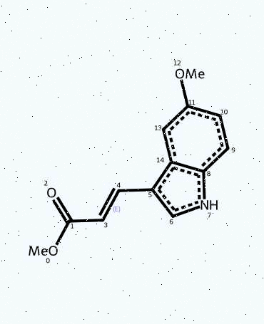 COC(=O)/C=C/c1c[nH]c2ccc(OC)cc12